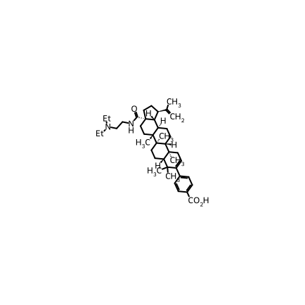 C=C(C)[C@@H]1CC[C@]2(C(=O)NCCN(CC)CC)CC[C@]3(C)[C@H](CC[C@@H]4[C@@]5(C)CC=C(c6ccc(C(=O)O)cc6)C(C)(C)[C@@H]5CC[C@]43C)[C@@H]12